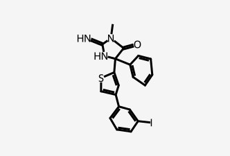 CN1C(=N)NC(c2ccccc2)(c2cc(-c3cccc(I)c3)cs2)C1=O